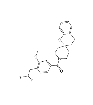 COc1cc(C(=O)N2CCC3(CCc4ccccc4O3)CC2)ccc1CC(F)F